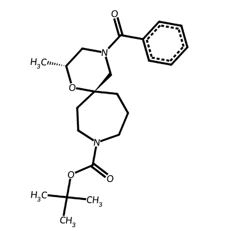 C[C@@H]1CN(C(=O)c2ccccc2)C[C@]2(CCCN(C(=O)OC(C)(C)C)CC2)O1